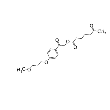 COCCCOc1ccc(C(=O)COC(=O)CCCCC(C)=O)cc1